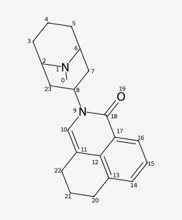 CN1C2CCCC1CC(n1cc3c4c(cccc4c1=O)CCC3)C2